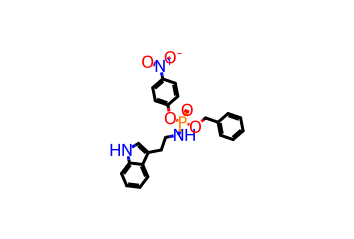 O=[N+]([O-])c1ccc(OP(=O)(NCCc2c[nH]c3ccccc23)OCc2ccccc2)cc1